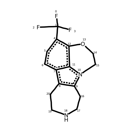 FC(F)(F)c1ccc2c3c(n4c2c1OCC4)CCNCC3